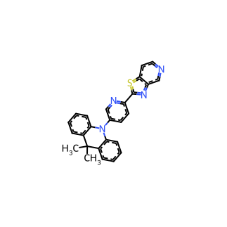 CC1(C)c2ccccc2N(c2ccc(-c3nc4cnccc4s3)nc2)c2ccccc21